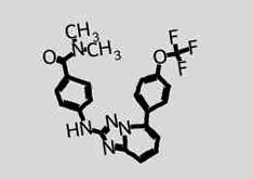 CN(C)C(=O)c1ccc(Nc2nc3cccc(-c4ccc(OC(F)(F)F)cc4)n3n2)cc1